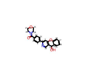 O=C(c1ccc(-c2cc3c(cn2)C(O)c2ccccc2O3)cc1)N1CCOCC1